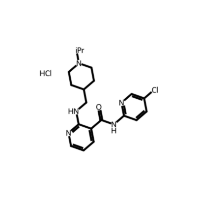 CC(C)N1CCC(CNc2ncccc2C(=O)Nc2ccc(Cl)cn2)CC1.Cl